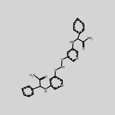 NC(=O)C(Nc1cncc(OBOc2cncc(NC(C(N)=O)c3ccccc3)c2)c1)c1ccccc1